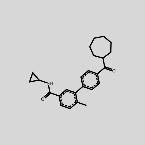 Cc1ccc(C(=O)NC2CC2)cc1-c1ccc(C(=O)C2CCCCCC2)cc1